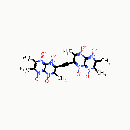 Cc1c(C)[n+]([O-])c2c([n+]1[O-])[n+]([O-])c(C)c(C#Cc1c(C)[n+]([O-])c3c([n+]([O-])c(C)c(C)[n+]3[O-])[n+]1[O-])[n+]2[O-]